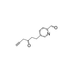 C#CCC(=O)CCc1ccc(C=O)nc1